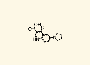 O=C(O)c1c[nH]c2ccc(N3CCCC3)cc2c1=O